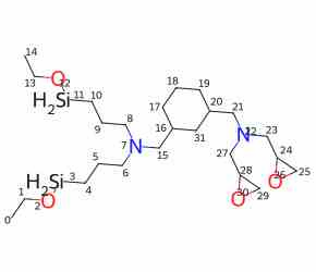 CCO[SiH2]CCCN(CCC[SiH2]OCC)CC1CCCC(CN(CC2CO2)CC2CO2)C1